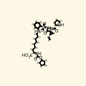 C=C[C@@H]1C[C@]1(NC(=O)[C@@H]1CCCN1)C(=O)NS(=O)(=O)c1ccccc1NCCCCCCC[C@H](NC(=O)OC1CCCC1)C(=O)O